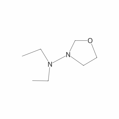 CCN(CC)N1CCOC1